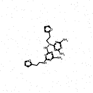 Nc1nc(NCCc2ccco2)nc(NN(CCc2ccco2)c2nc(N)nc(N)n2)n1